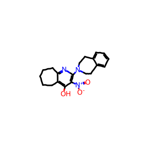 O=[N+]([O-])c1c(N2CCc3ccccc3CC2)nc2c(c1O)CCCCC2